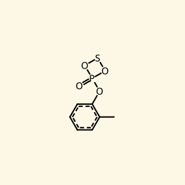 Cc1ccccc1OP1(=O)OSO1